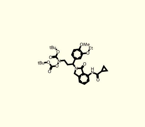 CCOc1cc(C(CCN(OC(=O)OC(C)(C)C)C(=O)OC(C)(C)C)N2Cc3cccc(NC(=O)C4CC4)c3C2=O)ccc1OC